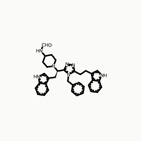 O=[C]NC1CCN([C@H](Cc2c[nH]c3ccccc23)c2nnc(CCc3c[nH]c4ccccc34)n2Cc2ccccc2)CC1